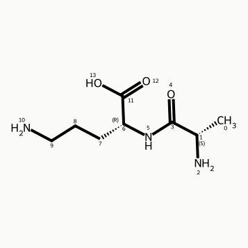 C[C@H](N)C(=O)N[C@H](CCCN)C(=O)O